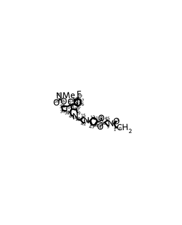 C=CC(=O)N1CC(S(=O)(=O)c2ccc(N3CC(CN4CCC([C@](C#N)(c5cccc(F)c5)[C@H]5CCC[C@@H]5OC(=O)NC)CC4)C3)cc2)C1